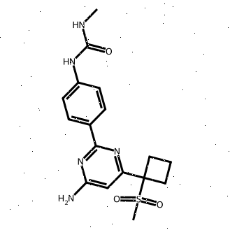 CNC(=O)Nc1ccc(-c2nc(N)cc(C3(S(C)(=O)=O)CCC3)n2)cc1